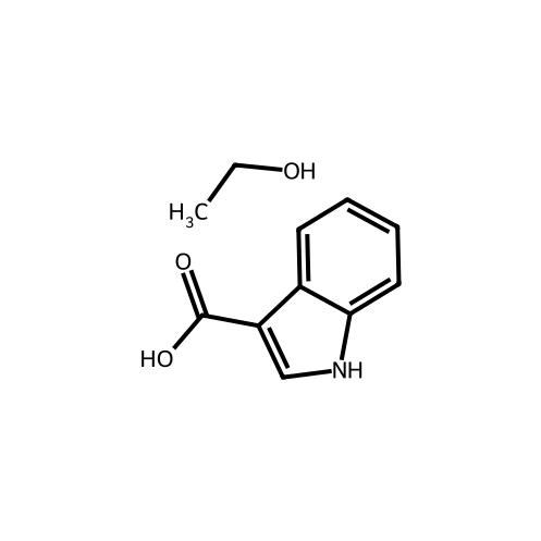 CCO.O=C(O)c1c[nH]c2ccccc12